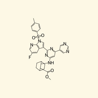 COC(=O)C1C2CCC(CC2)C1Nc1cc(-c2cncnc2)nc(-c2cn(S(=O)(=O)c3ccc(C)cc3)c3ncc(F)cc23)n1